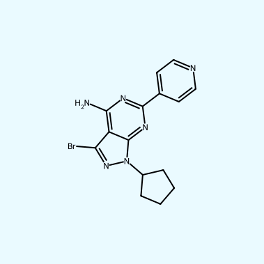 Nc1nc(-c2ccncc2)nc2c1c(Br)nn2C1CCCC1